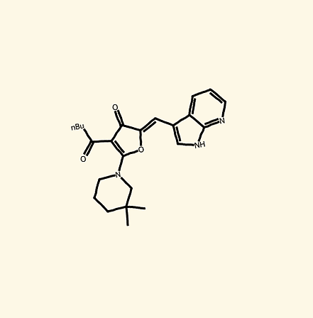 CCCCC(=O)C1=C(N2CCCC(C)(C)C2)O/C(=C\c2c[nH]c3ncccc23)C1=O